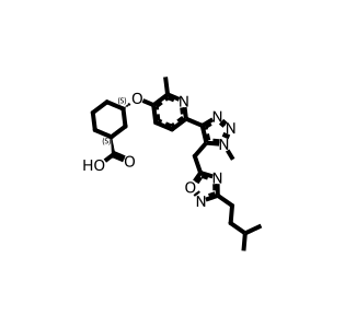 Cc1nc(-c2nnn(C)c2Cc2nc(CCC(C)C)no2)ccc1O[C@H]1CCC[C@H](C(=O)O)C1